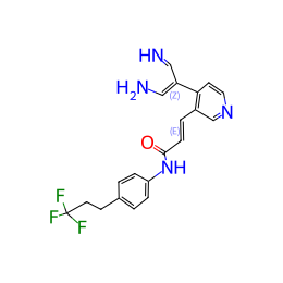 N=C/C(=C\N)c1ccncc1/C=C/C(=O)Nc1ccc(CCC(F)(F)F)cc1